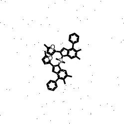 Cc1ccc(C2=Cc3c(cc(C)c(C)c3-c3ccccc3)C2[Si](C)(C)C2C(c3ccc(C)o3)=Cc3c2cc(C)c(C)c3-c2ccccc2)o1